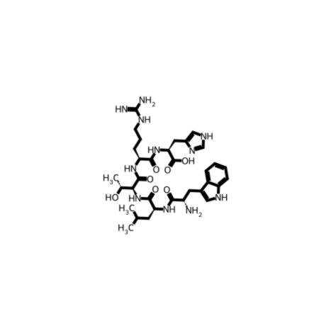 CC(C)C[C@H](NC(=O)[C@@H](N)Cc1c[nH]c2ccccc12)C(=O)N[C@H](C(=O)N[C@@H](CCCNC(=N)N)C(=O)N[C@@H](Cc1c[nH]cn1)C(=O)O)[C@@H](C)O